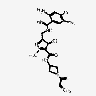 C=CC(=O)N1CC(NC(=O)C2=[N+](C)N=C(CNC(=N)c3cc(C(C)(C)C)c(Cl)cc3N)C2Cl)C1